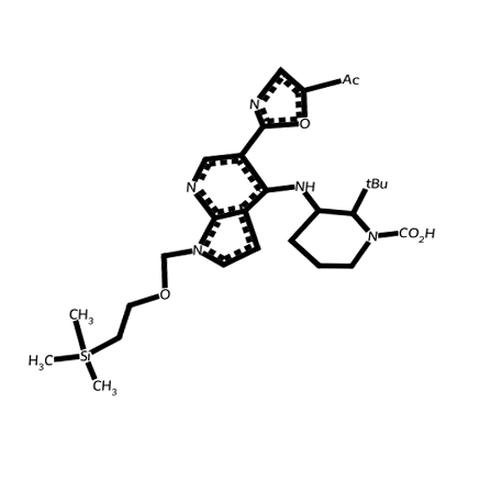 CC(=O)c1cnc(-c2cnc3c(ccn3COCC[Si](C)(C)C)c2NC2CCCN(C(=O)O)C2C(C)(C)C)o1